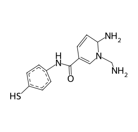 NCN1C=C(C(=O)Nc2ccc(S)cc2)C=CC1N